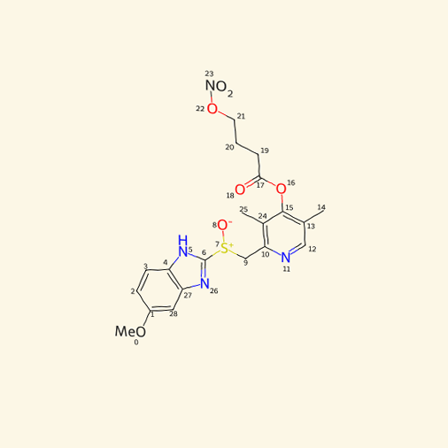 COc1ccc2[nH]c([S+]([O-])Cc3ncc(C)c(OC(=O)CCCO[N+](=O)[O-])c3C)nc2c1